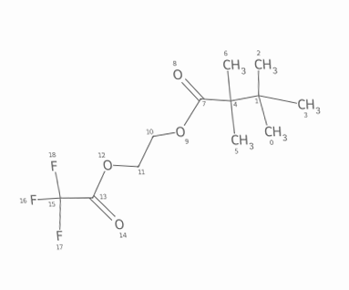 CC(C)(C)C(C)(C)C(=O)OCCOC(=O)C(F)(F)F